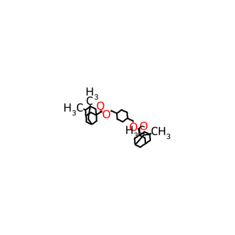 CC1C2CC3CC(C(=O)OCC4CCC(COC(=O)C56CC7CC(C5)C(C)C(C)(C7)C6)CC4)(C2)CC1(C)C3